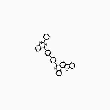 c1ccc(-c2nc(-c3ccc(-c4ccc(-c5nc6ccccc6c6c5ccc5c7ccccc7oc56)cc4)cc3)c3ccccc3n2)cc1